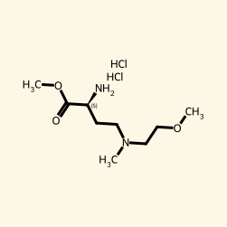 COCCN(C)CC[C@H](N)C(=O)OC.Cl.Cl